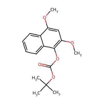 COc1cc(OC)c2ccccc2c1OC(=O)OC(C)(C)C